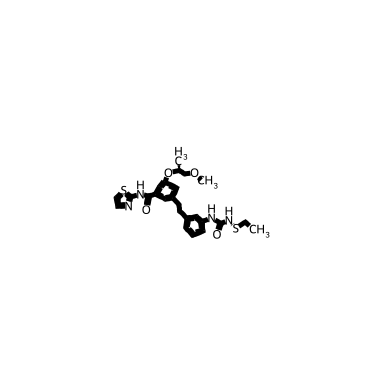 CCSNC(=O)Nc1cccc(CCc2cc(O[C@@H](C)COC)cc(C(=O)Nc3nccs3)c2)c1